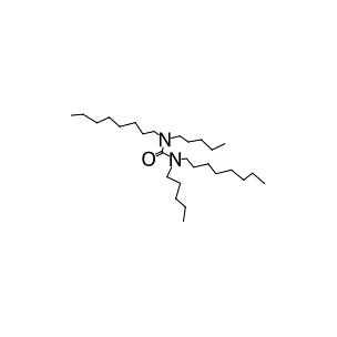 CCCCCCCCN(CCCCC)C(=O)N(CCCCC)CCCCCCCC